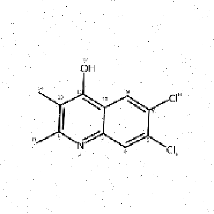 Cc1nc2cc(Cl)c(Cl)cc2c(O)c1C